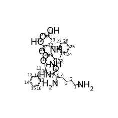 NCCCC[C@@H](N)C(=O)N[C@H](Cc1ccccc1)C(=O)N[C@@H](Cc1ccccc1)C(=O)N[C@@H](CC(=O)O)C(=O)O